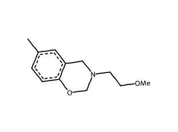 COCCN1COc2ccc(C)cc2C1